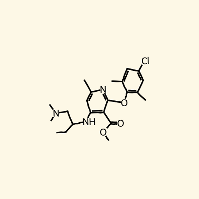 CCC(CN(C)C)Nc1cc(C)nc(Oc2c(C)cc(Cl)cc2C)c1C(=O)OC